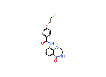 O=C(Nc1cccc2c1NCCNC2=O)c1ccc(OCCF)cc1